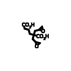 O=C(O)CCCC(CC1CO1)(CC1CO1)C(=O)O